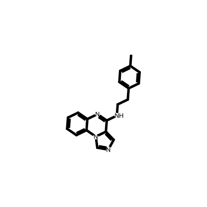 Cc1ccc(CCNc2nc3ccccc3n3cncc23)cc1